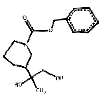 CC(O)(CO)C1CCCN(C(=O)OCc2ccccc2)C1